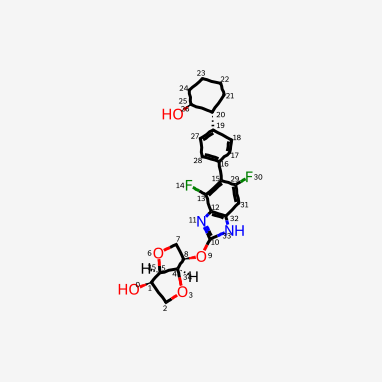 O[C@@H]1CO[C@H]2[C@@H]1OC[C@H]2Oc1nc2c(F)c(-c3ccc([C@H]4CCCC[C@@H]4O)cc3)c(F)cc2[nH]1